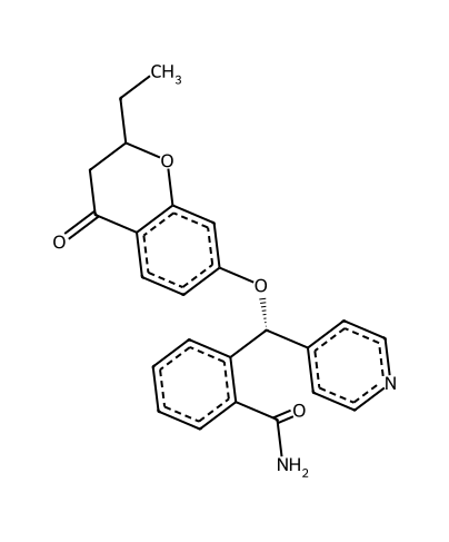 CCC1CC(=O)c2ccc(O[C@H](c3ccncc3)c3ccccc3C(N)=O)cc2O1